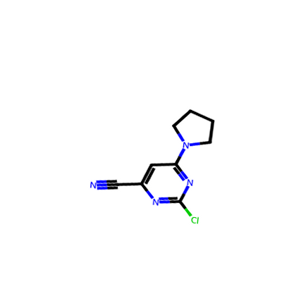 N#Cc1cc(N2CCCC2)nc(Cl)n1